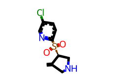 C=C1CNC[C@@H]1S(=O)(=O)c1ccc(Cl)cn1